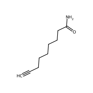 C#CCCCCCCC(N)=O